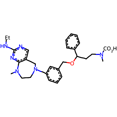 CCNc1ncc2c(n1)N(C)CCN(c1cccc(COC(CCN(C)C(=O)O)c3ccccc3)c1)C2